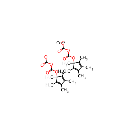 CC1=C(C)C(C)(OC(=O)OC(=O)[O-])C(C)=C1C.CC1=C(C)C(C)(OC(=O)OC(=O)[O-])C(C)=C1C.[Co+2]